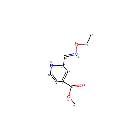 CCON=Cc1cc(C(=O)OC)ccn1